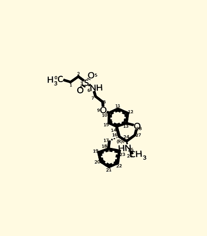 CCCS(=O)(=O)NCCOc1ccc2c(c1)[C@@H](Cc1ccccc1)[C@@H](NC)CO2